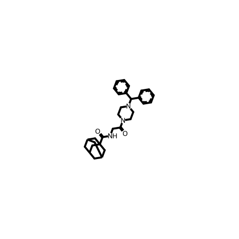 O=C(CNC(=O)C12CC3CC(CC(C3)C1)C2)N1CCN(C(c2ccccc2)c2ccccc2)CC1